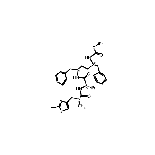 CC(C)OC(=O)N[C@H](CC[C@H](Cc1ccccc1)NC(=O)[C@@H](NC(=O)N(C)Cc1csc(C(C)C)n1)C(C)C)Cc1ccccc1